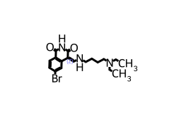 CCN(CC)CCCCN/C=C1\C(=O)NC(=O)c2ccc(Br)cc21